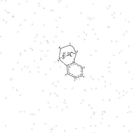 c1ccc2c(c1)C1CCC2SC1